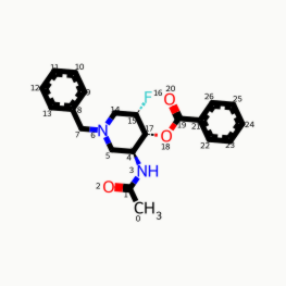 CC(=O)N[C@H]1CN(Cc2ccccc2)C[C@H](F)[C@@H]1OC(=O)c1ccccc1